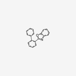 c1ccc(-c2ccccc2-c2nc3ccccc3o2)cc1